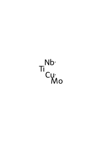 [Cu].[Mo].[Nb].[Ti]